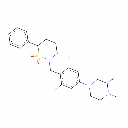 CC(=O)N1CCN(c2ccc(CN3[C@@H](C)CCC(c4ccccc4)S3(=O)=O)c(F)c2)C[C@H]1C